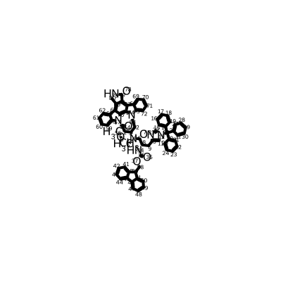 COC1C(N(C)C(=O)C(Cc2cn(C(c3ccccc3)(c3ccccc3)c3ccccc3)cn2)NC(=O)OCC2c3ccccc3-c3ccccc32)CC2OC1(C)n1c3ccccc3c3c4c(c5c6ccccc6n2c5c31)C(=O)NC4